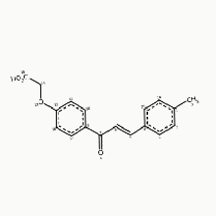 Cc1ccc(/C=C/C(=O)c2ccc(OCC(=O)O)cc2)cc1